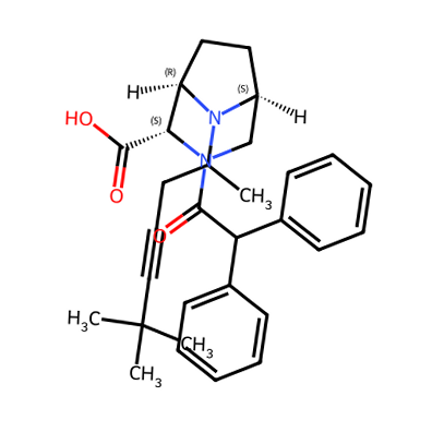 CC(CC#CC(C)(C)C)N1[C@H]2CC[C@@H]1[C@@H](C(=O)O)N(C(=O)C(c1ccccc1)c1ccccc1)C2